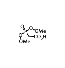 COOP(=O)(CC(=O)O)OOC